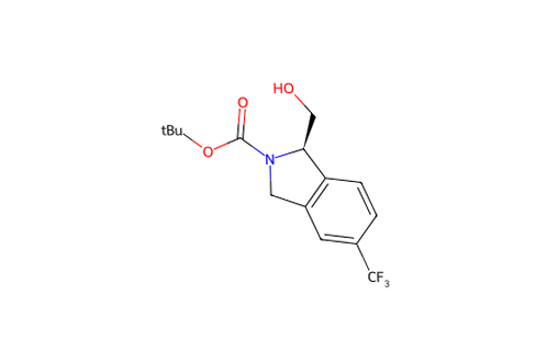 CC(C)(C)OC(=O)N1Cc2cc(C(F)(F)F)ccc2[C@@H]1CO